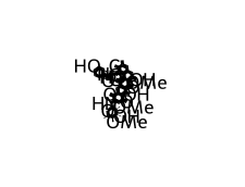 CO[C@@H]1[C@@H](O)[C@@H](OC)[C@@H](NC2=CC(=O)c3c(cc4c(c3O)C(=O)C3(OC)C(O)Cc5cc(C)c(C(=O)O)c(OCC(=O)N6CCCCC6)c5C3(O)C4=O)C2=O)O[C@H]1C